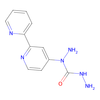 NNC(=O)N(N)c1ccnc(-c2ccccn2)c1